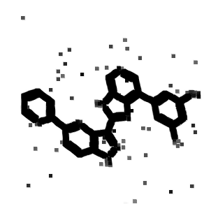 Oc1cc(F)cc(-c2cncc3[nH]c(-c4n[nH]c5ccc(-c6ccccn6)nc45)nc23)c1